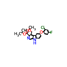 COCc1c(C(=O)OC(C)C)ncc2[nH]c3ccc(Oc4ccc(F)cc4Cl)cc3c12